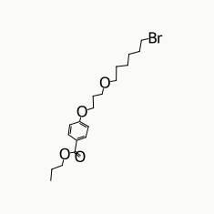 CCCOC(=O)c1ccc(OCCCOCCCCCCBr)cc1